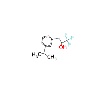 CC(C)c1cccc(CC(O)C(F)(F)F)c1